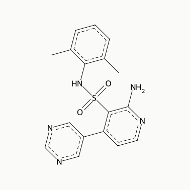 Cc1cccc(C)c1NS(=O)(=O)c1c(-c2cncnc2)ccnc1N